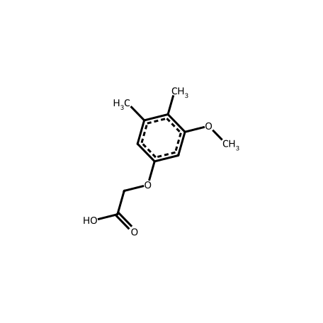 COc1cc(OCC(=O)O)cc(C)c1C